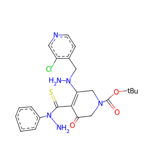 CC(C)(C)OC(=O)N1CC(=O)C(C(=S)N(N)c2ccccc2)=C(N(N)Cc2ccncc2Cl)C1